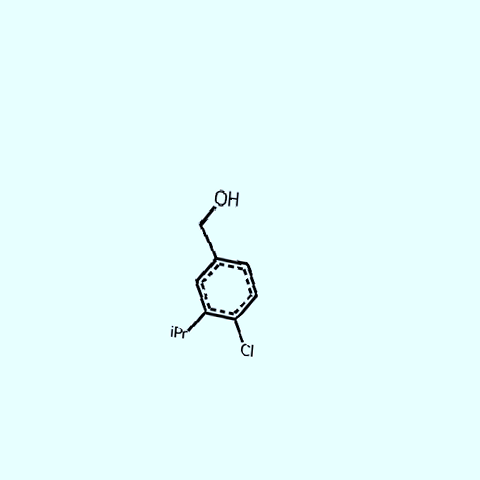 CC(C)c1cc(CO)ccc1Cl